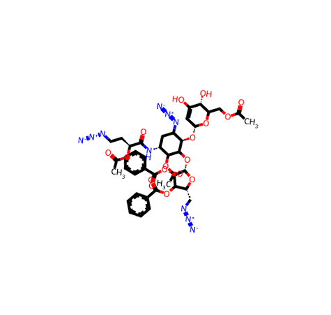 CC(=O)OCC1O[C@H](O[C@@H]2C(N=[N+]=[N-])C[C@@H](NC(=O)[C@H](CCN=[N+]=[N-])OC(C)=O)C(OC(C)=O)C2O[C@@H]2O[C@H](CN=[N+]=[N-])C(OC(=O)c3ccccc3)[C@@H]2OC(=O)c2ccccc2)C=C(O)[C@@H]1O